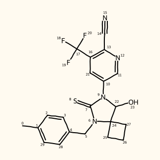 Cc1ccc(CN2C(=S)N(c3cnc(C#N)c(C(F)(F)F)c3)C(O)C23CCC3)cc1